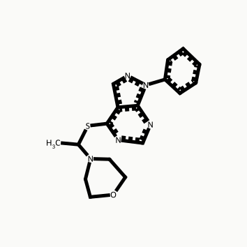 CC(Sc1ncnc2c1cnn2-c1ccccc1)N1CCOCC1